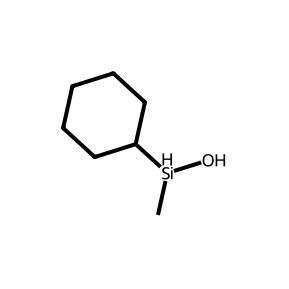 C[SiH](O)C1CCCCC1